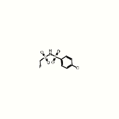 O=S(=O)(CF)NS(=O)(=O)c1ccc(Cl)cc1